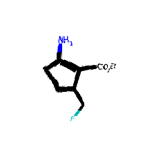 CCOC(=O)C1=C(N)CCC1CF